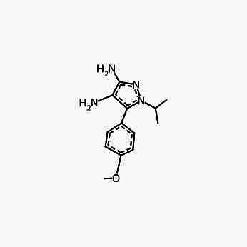 COc1ccc(-c2c(N)c(N)nn2C(C)C)cc1